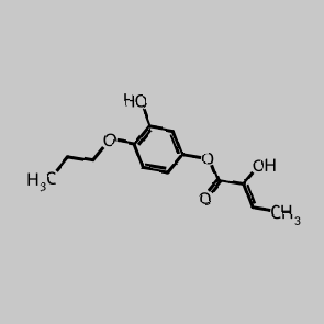 CC=C(O)C(=O)Oc1ccc(OCCC)c(O)c1